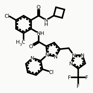 Cc1cc(Cl)cc(C(=O)NC2CCC2)c1NC(=O)c1cc(Cn2ncc(C(F)(F)F)n2)nn1-c1ncccc1Cl